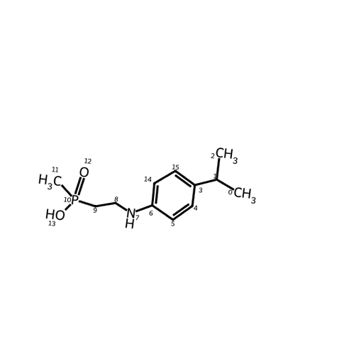 CC(C)c1ccc(NCCP(C)(=O)O)cc1